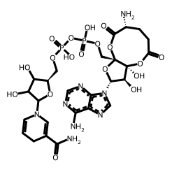 NC(=O)C1=CN(C2O[C@H](COP(=O)(O)OP(=O)(O)OC[C@@]34OC(=O)[C@H](N)CCC(=O)O[C@@]3(O)[C@@H](O)[C@H](n3cnc5c(N)ncnc53)O4)C(O)C2O)C=CC1